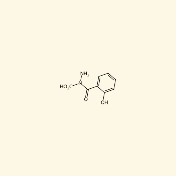 NN(C(=O)O)C(=O)c1ccccc1O